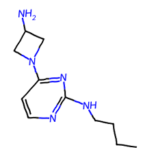 CCCCNc1nccc(N2CC(N)C2)n1